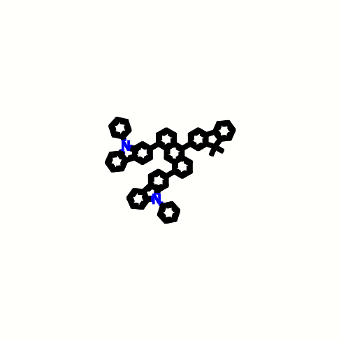 CC1(C)c2ccccc2-c2ccc(-c3c4cccc(-c5ccc6c7ccccc7n(-c7ccccc7)c6c5)c4cc4c(-c5ccc6c7ccccc7n(-c7ccccc7)c6c5)cccc34)cc21